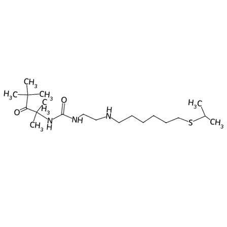 CC(C)SCCCCCCNCCNC(=O)NC(C)(C)C(=O)C(C)(C)C